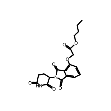 CCCCOC(=O)COc1cccc2c1C(=O)N(C1CCC(=O)NC1=O)C2=O